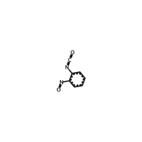 O=C=Nc1ccccc1N=O